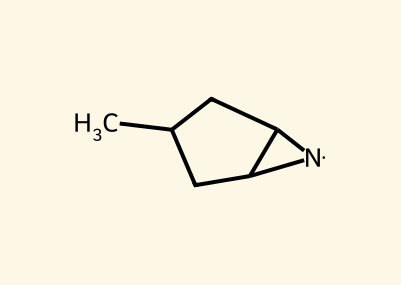 CC1CC2[N]C2C1